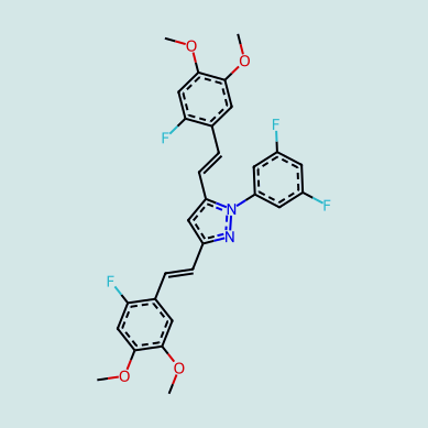 COc1cc(F)c(C=Cc2cc(C=Cc3cc(OC)c(OC)cc3F)n(-c3cc(F)cc(F)c3)n2)cc1OC